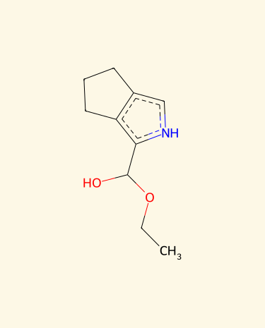 CCOC(O)c1[nH]cc2c1CCC2